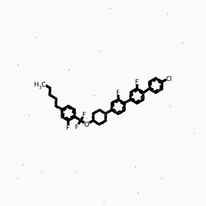 CCCCCc1ccc(C(F)(F)OC2CCC(c3ccc(-c4ccc(-c5ccc(Cl)cc5)c(F)c4)c(F)c3)CC2)c(F)c1